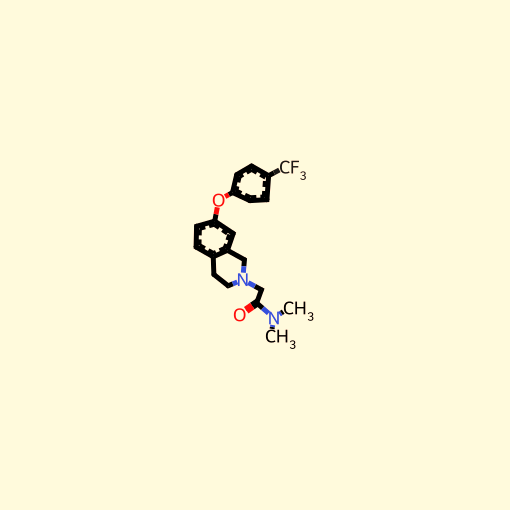 CN(C)C(=O)CN1CCc2ccc(Oc3ccc(C(F)(F)F)cc3)cc2C1